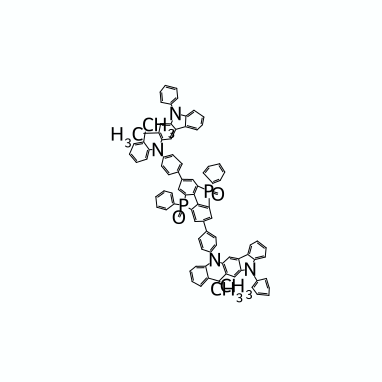 CC1(C)c2ccccc2N(c2ccc(-c3cc4c5c(c3)P(=O)(c3ccccc3)c3cc(-c6ccc(N7c8ccccc8C(C)(C)c8cc9c(cc87)c7ccccc7n9-c7ccccc7)cc6)cc(c3-5)P4(=O)c3ccccc3)cc2)c2cc3c4ccccc4n(-c4ccccc4)c3cc21